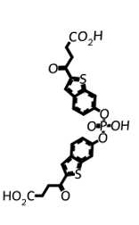 O=C(O)CCC(=O)c1cc2ccc(OP(=O)(O)Oc3ccc4cc(C(=O)CCC(=O)O)sc4c3)cc2s1